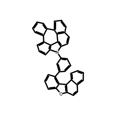 c1cc(-c2cccc3oc4ccc5ccccc5c4c23)cc(-n2c3cccc4c3c3c5c(cccc5ccc32)-c2ccccc2-4)c1